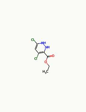 CCOC(=O)C1=C(Cl)C=C(Cl)NN1